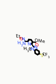 CCO/N=C(\N)c1ccc(C(=O)OC)c(-c2nc3cc(SC(F)(F)F)ccc3n2C)n1